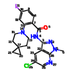 Cn1nc(NC(=O)c2ccc(I)cc2N2CCC3(CC2)CC3)c2cc(Cl)cnc21